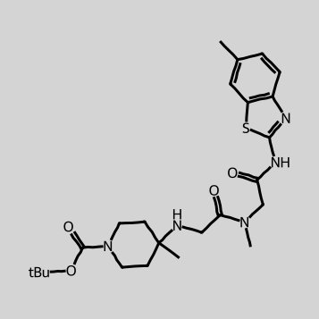 Cc1ccc2nc(NC(=O)CN(C)C(=O)CNC3(C)CCN(C(=O)OC(C)(C)C)CC3)sc2c1